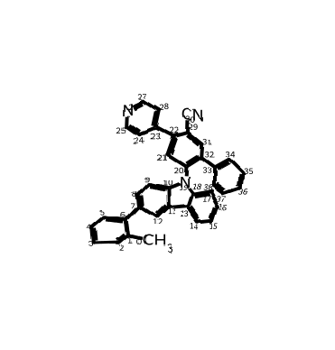 Cc1ccccc1-c1ccc2c(c1)c1ccccc1n2-c1cc(-c2ccncc2)c(C#N)cc1-c1ccccc1